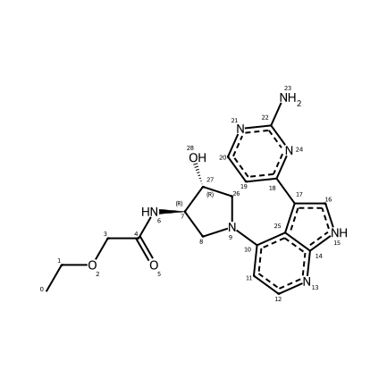 CCOCC(=O)N[C@@H]1CN(c2ccnc3[nH]cc(-c4ccnc(N)n4)c23)C[C@H]1O